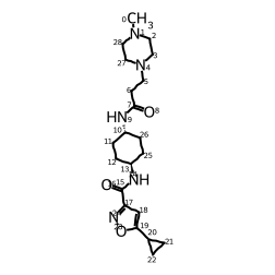 CN1CCN(CCC(=O)N[C@H]2CC[C@H](NC(=O)c3cc(C4CC4)on3)CC2)CC1